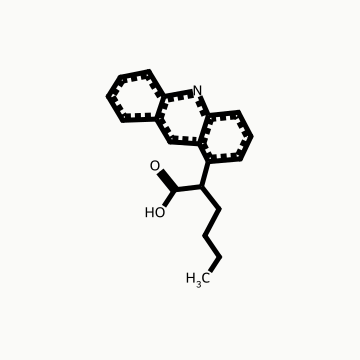 CCCCC(C(=O)O)c1cccc2nc3ccccc3cc12